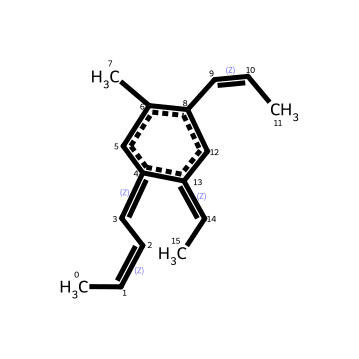 C\C=C/C=c1/cc(C)c(/C=C\C)c/c1=C/C